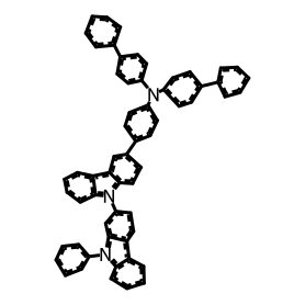 c1ccc(-c2ccc(N(c3ccc(-c4ccccc4)cc3)c3ccc(-c4ccc5c(c4)c4ccccc4n5-c4ccc5c6ccccc6n(-c6ccccc6)c5c4)cc3)cc2)cc1